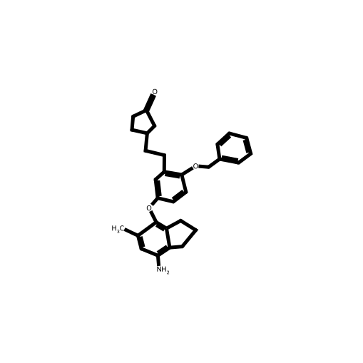 Cc1cc(N)c2c(c1Oc1ccc(OCc3ccccc3)c(CCC3CCC(=O)C3)c1)CCC2